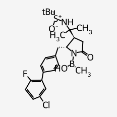 CB(O)N1C(=O)C[C@H](C(C)(C)N[S@+]([O-])C(C)(C)C)[C@H]1Cc1ccc(-c2cc(Cl)ccc2F)cc1